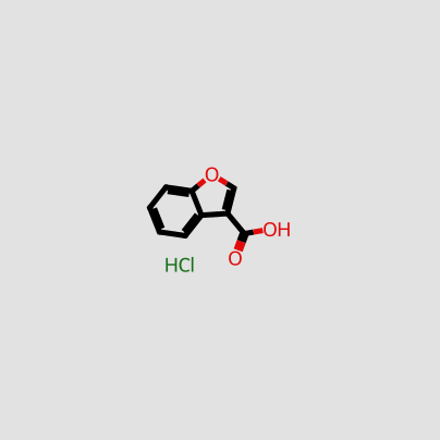 Cl.O=C(O)c1coc2ccccc12